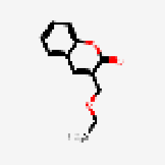 O=c1oc2ccccc2cc1COCS(=O)(=O)O